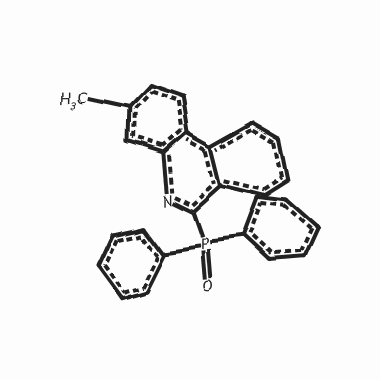 Cc1ccc2c(c1)nc(P(=O)(c1ccccc1)c1ccccc1)c1ccccc12